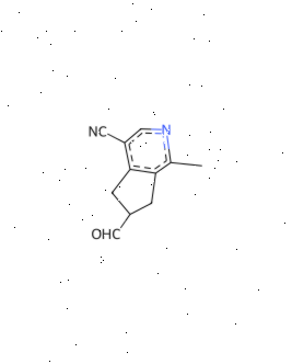 Cc1ncc(C#N)c2c1CC(C=O)C2